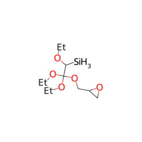 CCOC([SiH3])C(OCC)(OCC)OCC1CO1